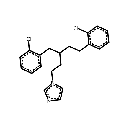 Clc1ccccc1CCC(CCn1ccnc1)Cc1ccccc1Cl